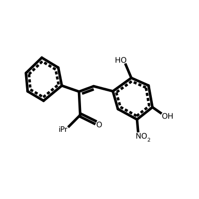 CC(C)C(=O)C(=Cc1cc([N+](=O)[O-])c(O)cc1O)c1ccccc1